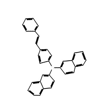 C(=C\c1ccc(N(c2ccc3ccccc3c2)c2ccc3ccccc3c2)cc1)/c1ccccc1